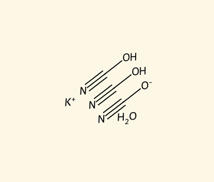 N#CO.N#CO.N#C[O-].O.[K+]